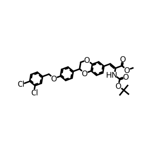 COC(=O)C(=Cc1ccc2c(c1)OCC(c1ccc(OCc3ccc(Cl)c(Cl)c3)cc1)O2)NC(=O)OC(C)(C)C